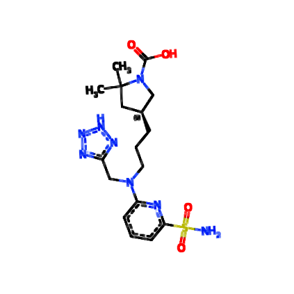 CC1(C)C[C@H](CCCN(Cc2nn[nH]n2)c2cccc(S(N)(=O)=O)n2)CN1C(=O)O